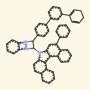 C1=CC(c2cccc(-c3ccc(C4C(n5c6ccc7ccccc7c6c6c7ccccc7c(-c7ccccc7)cc65)n5c6ccccc6n54)cc3)c2)=CCC1